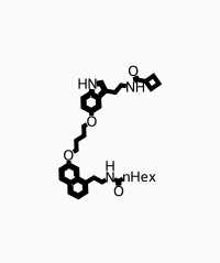 CCCCCCC(=O)NCCc1cccc2ccc(OCCCCOc3ccc4[nH]cc(CCNC(=O)C5CCC5)c4c3)cc12